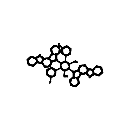 CC(C)(C)c1c(-c2cccc(F)c2)c(-n2c3ccccc3c3c4oc5ccccc5c4ccc32)c(-c2cccc(F)c2)c(C(C)(C)C)c1-n1c2ccccc2c2c3oc4ccccc4c3ccc21